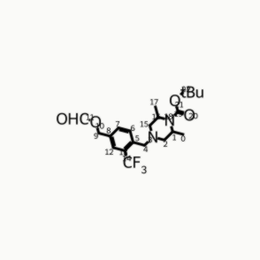 CC1CN(Cc2ccc(COC=O)cc2C(F)(F)F)CC(C)N1C(=O)OC(C)(C)C